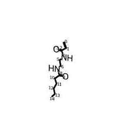 C=CC(=O)NCCNC(=O)CCCCC